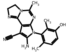 CC1=Nc2c(c(C#N)c(N)n2-c2c(C)ccc(O)c2C)C2=NCCN12